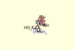 Cc1c(-c2cc(NC(=O)O)c3cnc(N)cc3c2)cncc1N(C(=O)OC(C)(C)C)C(=O)OC(C)(C)C